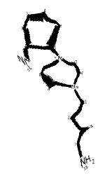 N#Cc1ccccc1N1CCN(CCCCN)CC1